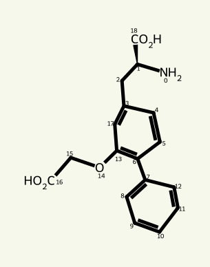 N[C@@H](Cc1ccc(-c2ccccc2)c(OCC(=O)O)c1)C(=O)O